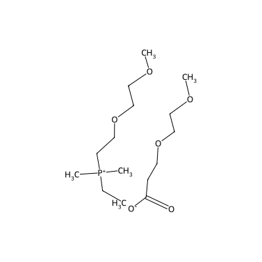 CC[P+](C)(C)CCOCCOC.COCCOCCC(=O)[O-]